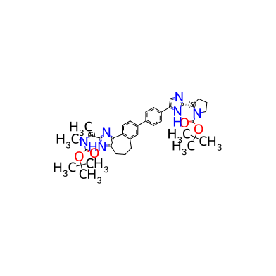 C[C@@H](c1nc2c([nH]1)CCCc1cc(-c3ccc(-c4cnc([C@@H]5CCCN5C(=O)OC(C)(C)C)[nH]4)cc3)ccc1-2)N(C)C(=O)OC(C)(C)C